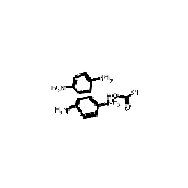 Nc1ccc(N)cc1.Nc1ccc(N)cc1.O=C(O)O